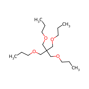 CCCOCC(COCCC)(COCCC)COCCC